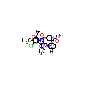 CCCC(=O)N1CCC(C(=O)N(CCCN2[C@@H]3CC[C@H]2CC(n2c(C)nc4c2CCN(C(=O)C2CC2)C4)C3)c2ccc(C)c(Cl)c2)CC1